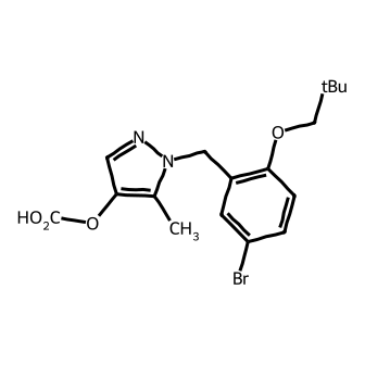 Cc1c(OC(=O)O)cnn1Cc1cc(Br)ccc1OCC(C)(C)C